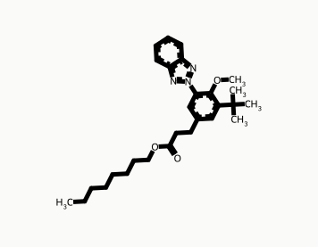 CCCCCCCCOC(=O)CCc1cc(-n2nc3ccccc3n2)c(OC)c(C(C)(C)C)c1